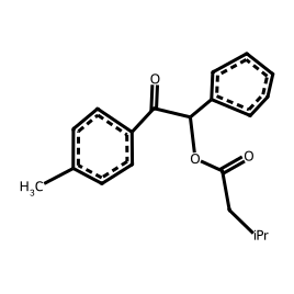 Cc1ccc(C(=O)C(OC(=O)CC(C)C)c2ccccc2)cc1